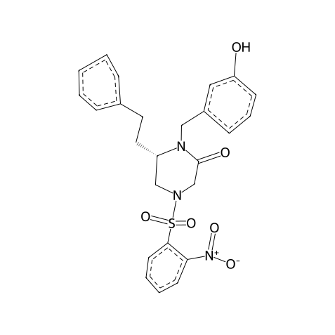 O=C1CN(S(=O)(=O)c2ccccc2[N+](=O)[O-])C[C@H](CCc2ccccc2)N1Cc1cccc(O)c1